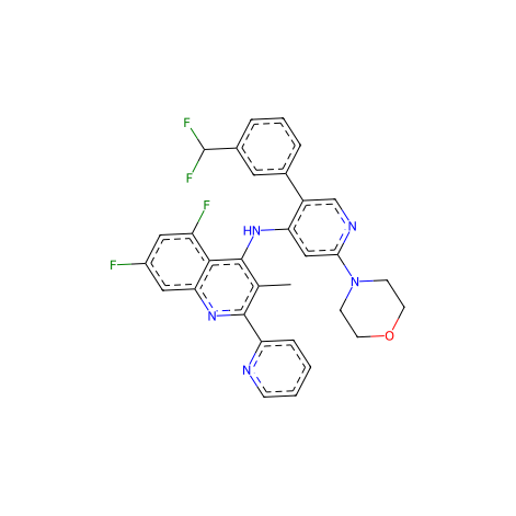 Cc1c(-c2ccccn2)nc2cc(F)cc(F)c2c1Nc1cc(N2CCOCC2)ncc1-c1cccc(C(F)F)c1